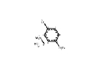 CCc1ccc(OC)cc1.CNC.Cl